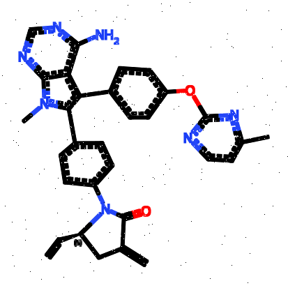 C=C[C@@H]1CC(=C)C(=O)N1c1ccc(-c2c(-c3ccc(Oc4nccc(C)n4)cc3)c3c(N)ncnc3n2C)cc1